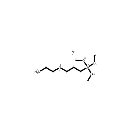 CO[Si](CCCNCCN)(OC)OC.[Zr]